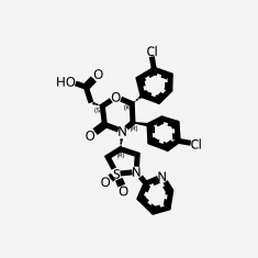 O=C(O)C[C@@H]1O[C@H](c2cccc(Cl)c2)[C@@H](c2ccc(Cl)cc2)N([C@@H]2CN(c3ccccn3)S(=O)(=O)C2)C1=O